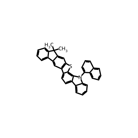 CC1(C)c2ccccc2-c2cc3c(cc21)sc1c3ccc2c3ccccc3n(-c3cccc4ccccc34)c21